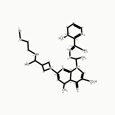 CCOCCNC(O)C1CN(C2=CC(C)C3C(=O)C(C(=O)O)=CN(C(C)S/N=C(\N)C4=NC=CC[C@@H]4C)C3=N2)C1